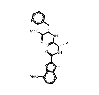 CCC[C@H](NC(=O)c1cc2c(OC)cccc2[nH]1)C(=O)N[C@@H](Cc1cccnc1)C(=O)OC